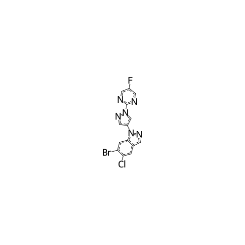 Fc1cnc(-n2cc(-n3ncc4cc(Cl)c(Br)cc43)cn2)nc1